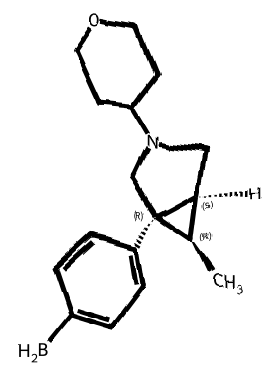 Bc1ccc([C@]23CN(C4CCOCC4)C[C@H]2[C@H]3C)cc1